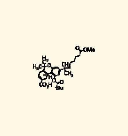 COC(=O)CCCCCC(C)(C)c1cc(OC(=O)C(C)(C)C)c2c(c1)OC(C)(C)C1CC=C(C(=O)O)C[C@@H]21